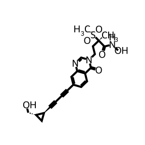 C[C@@](CCn1cnc2cc(C#CC#C[C@H]3C[C@@H]3CO)ccc2c1=O)(C(=O)NO)S(C)(=O)=O